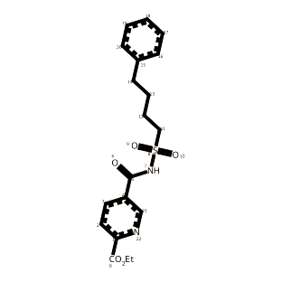 CCOC(=O)c1ccc(C(=O)NS(=O)(=O)CCCCc2ccccc2)cn1